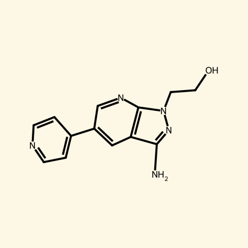 Nc1nn(CCO)c2ncc(-c3ccncc3)cc12